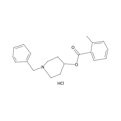 Cc1ccccc1C(=O)OC1CCN(Cc2ccccc2)CC1.Cl